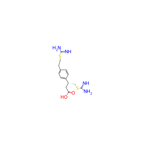 N=C(N)SCCc1ccc([C@H](CSC(=N)N)CC(=O)O)cc1